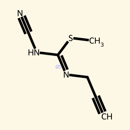 C#CC/N=C(/NC#N)SC